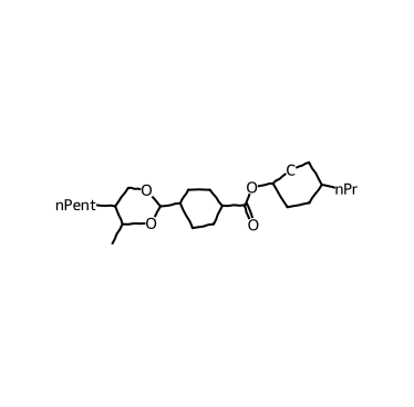 CCCCCC1COC(C2CCC(C(=O)OC3CCC(CCC)CC3)CC2)OC1C